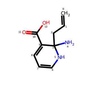 C=CCC1(N)NC=CC=C1C(=O)O